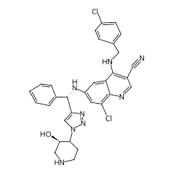 N#Cc1cnc2c(Cl)cc(N[C@@H](c3ccccc3)c3cn(C4CCNC[C@H]4O)nn3)cc2c1NCc1ccc(Cl)cc1